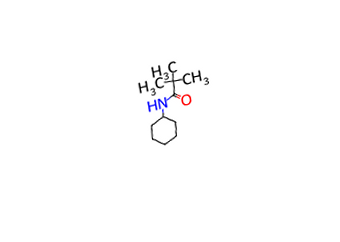 CC(C)(C)C(=O)NC1CCCCC1